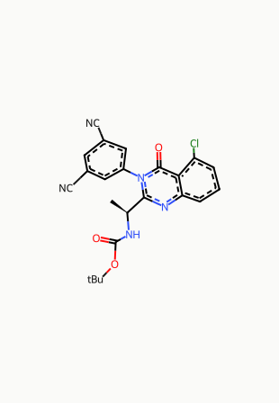 C[C@H](NC(=O)OC(C)(C)C)c1nc2cccc(Cl)c2c(=O)n1-c1cc(C#N)cc(C#N)c1